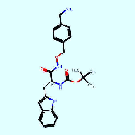 CC(C)(C)OC(=O)N[C@H](Cc1cc2ccccc2[nH]1)C(=O)NOCc1ccc(CN)cc1